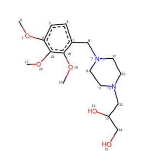 COc1ccc(CN2CCN(CC(O)CO)CC2)c(OC)c1OC